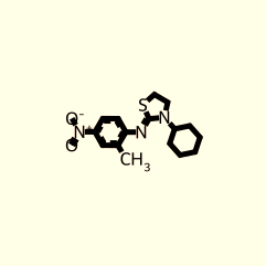 Cc1cc([N+](=O)[O-])ccc1N=C1SCCN1C1CCCCC1